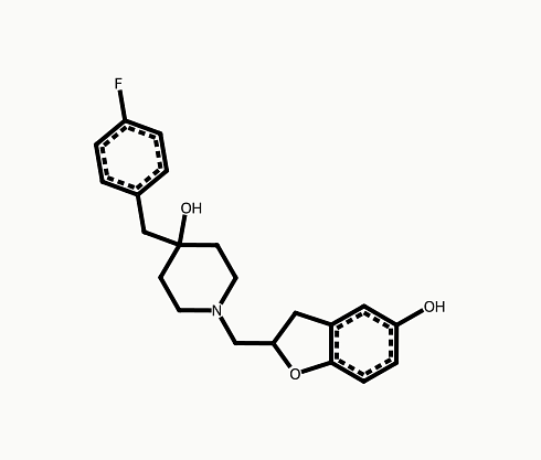 Oc1ccc2c(c1)CC(CN1CCC(O)(Cc3ccc(F)cc3)CC1)O2